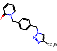 CCOC(=O)c1cn(Cc2ccc(Cn3ccccc3=O)cc2)nn1